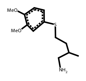 COc1ccc(SCCC(C)CN)cc1OC